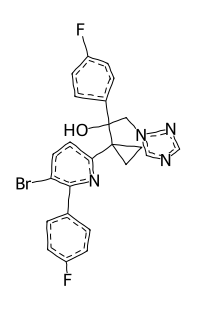 OC(Cn1cncn1)(c1ccc(F)cc1)C1(c2ccc(Br)c(-c3ccc(F)cc3)n2)CC1